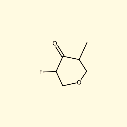 CC1COCC(F)C1=O